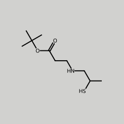 CC(S)CNCCC(=O)OC(C)(C)C